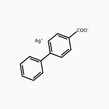 O=C([O-])c1ccc(-c2ccccc2)cc1.[Ag+]